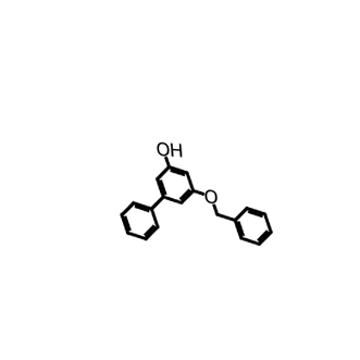 Oc1cc(OCc2ccccc2)cc(-c2ccccc2)c1